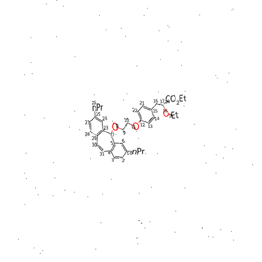 CCCc1ccc2c(c1)C(OCCOc1ccc(CC(OCC)C(=O)OCC)cc1)c1cc(CCC)ccc1C=C2